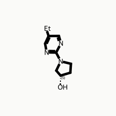 CCc1cnc(N2CC[C@H](O)C2)nc1